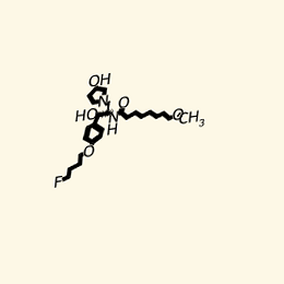 COCCCCCCCC(=O)N[C@H](CN1CCC(O)C1)[C@H](O)c1ccc(OCCCCF)cc1